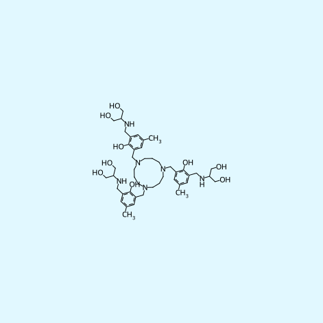 Cc1cc(CNC(CO)CO)c(O)c(CN2CCCN(Cc3cc(C)cc(CNC(CO)CO)c3O)CCCN(Cc3cc(C)cc(CNC(CO)CO)c3O)CCC2)c1